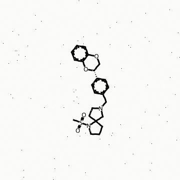 CS(=O)(=O)N1CCCC12CCN(Cc1ccc([C@H]3COc4ccccc4O3)cc1)C2